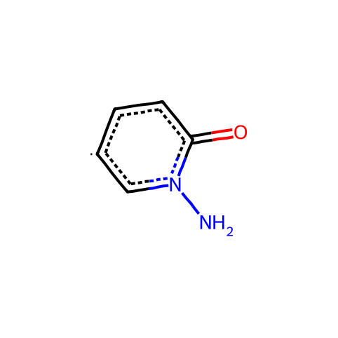 Nn1c[c]ccc1=O